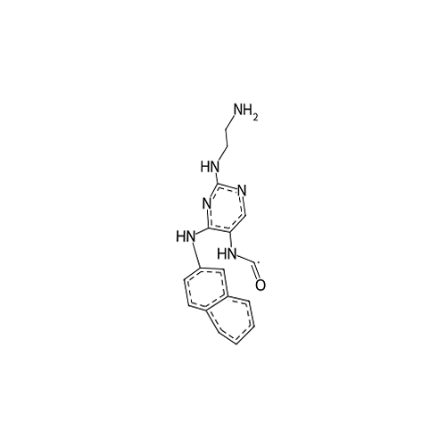 NCCNc1ncc(N[C]=O)c(Nc2ccc3ccccc3c2)n1